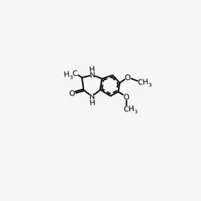 COc1cc2c(cc1OC)NC(C)C(=O)N2